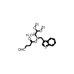 CCOC(OCC)[C@H](C)N(Cc1csc2ccccc12)OC(=O)CCC=O